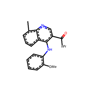 CCCC(=O)c1cnc2c(C)cccc2c1Nc1ccccc1OC